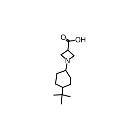 CC(C)(C)C1CCC(N2CC(C(=O)O)C2)CC1